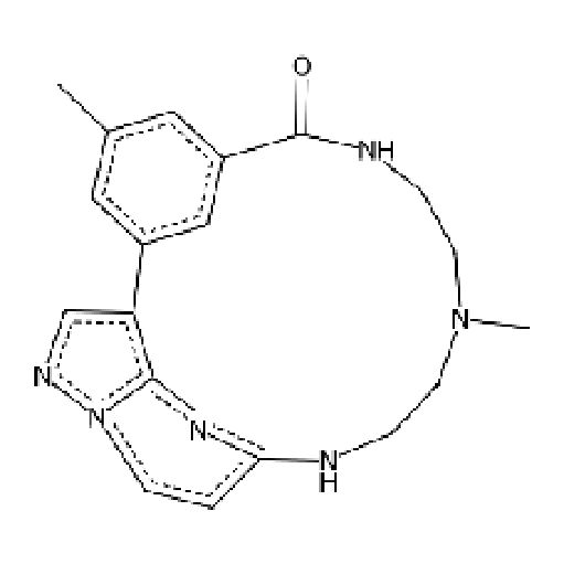 Cc1cc2cc(c1)-c1cnn3ccc(nc13)NCCN(C)CCNC2=O